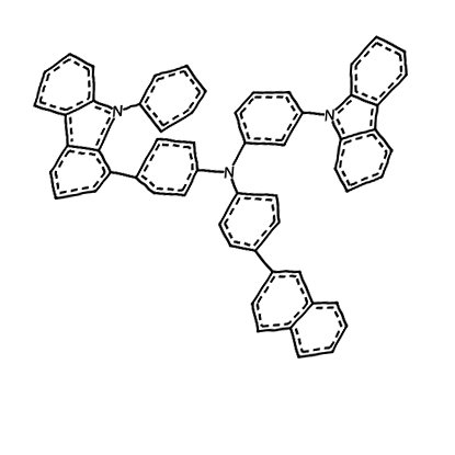 c1ccc(-n2c3ccccc3c3cccc(-c4ccc(N(c5ccc(-c6ccc7ccccc7c6)cc5)c5cccc(-n6c7ccccc7c7ccccc76)c5)cc4)c32)cc1